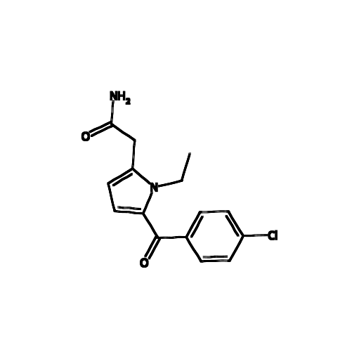 CCn1c(CC(N)=O)ccc1C(=O)c1ccc(Cl)cc1